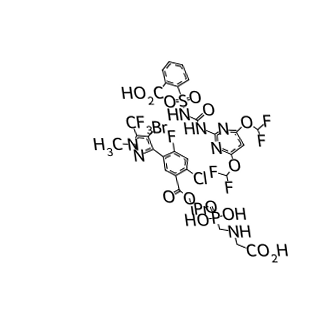 CC(C)OC(=O)c1cc(-c2nn(C)c(C(F)(F)F)c2Br)c(F)cc1Cl.O=C(Nc1nc(OC(F)F)cc(OC(F)F)n1)NS(=O)(=O)c1ccccc1C(=O)O.O=C(O)CNCP(=O)(O)O